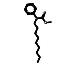 CCCCCCCCCN(C(=O)OC)c1ccccc1